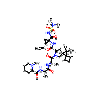 C=C[C@@H]1C[C@]1(NC(=O)[C@@H]1C[C@@]2(CN1C(=O)[C@@H](NC(=O)[C@@H](NC(=O)[C@@H]1CCCCN1C(C)C)C(C)C)C(C)C)C(C)(C)C21CCC1)C(=O)NS(=O)(=O)N(CC)CC